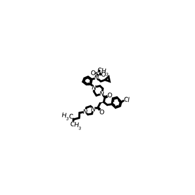 CC(C)CCN1CCN(C(=O)C[C@H](Cc2ccc(Cl)cc2)C(=O)N2CCN(c3ccccc3N(CC3CC3)S(C)(=O)=O)CC2)CC1